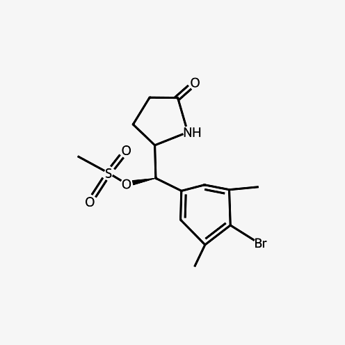 Cc1cc([C@@H](OS(C)(=O)=O)C2CCC(=O)N2)cc(C)c1Br